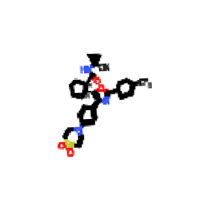 N#CC1(NC(=O)[C@@H]2CCCC[C@H]2c2oc(C3CCC(C(F)(F)F)CC3)nc2-c2ccc(N3CCS(=O)(=O)CC3)cc2)CC1